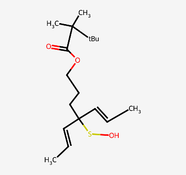 CC=CC(C=CC)(CCCOC(=O)C(C)(C)C(C)(C)C)SO